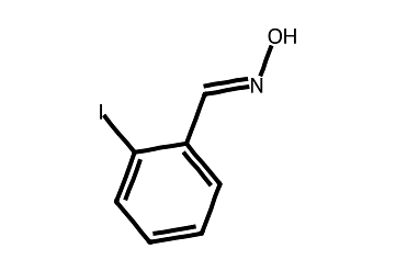 ON=Cc1ccccc1I